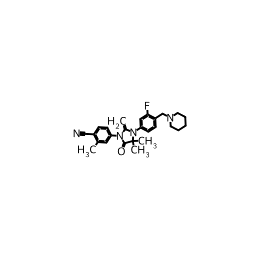 C=C1N(c2ccc(C#N)c(C)c2)C(=O)C(C)(C)N1c1ccc(CN2CCCCC2)c(F)c1